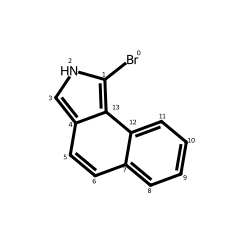 Brc1[nH]cc2ccc3ccccc3c12